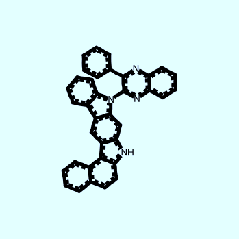 c1ccc(-c2nc3ccccc3nc2-n2c3ccccc3c3cc4c(cc32)[nH]c2ccc3ccccc3c24)cc1